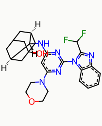 O[C@]12CC3C[C@H](C1)[C@@H](Nc1cc(N4CCOCC4)nc(-n4c(C(F)F)nc5ccccc54)n1)[C@@H](C3)C2